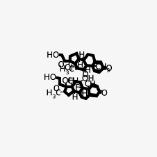 C[C@H]1C[C@H]2[C@@H]3CCC4=CC(=O)C=C[C@]4(C)[C@@]3(F)[C@@H](O)C[C@]2(C)[C@@]1(O)C(=O)CO.C[C@]12C=CC(=O)C=C1CC[C@@H]1[C@@H]2C(=O)C[C@@]2(C)[C@H]1CC[C@]2(O)C(=O)CO